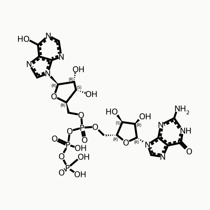 Nc1nc2c(ncn2[C@@H]2O[C@H](COP(=O)(OC[C@H]3O[C@@H](n4cnc5c(O)ncnc54)[C@H](O)[C@@H]3O)OP(=O)(O)OP(=O)(O)O)[C@@H](O)[C@H]2O)c(=O)[nH]1